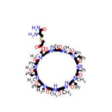 CC[C@@H]1NC(=O)[C@H](COC(=O)CSC[C@H](N)C(N)=O)N(C)C(=O)[C@H](C(C)C)N(C)C(=O)[C@H](CC(C)C)N(C)C(=O)[C@H](CC(C)C)N(C)C(=O)[C@@H](C)NC(=O)[C@H](C)NC(=O)[C@H](CC(C)C)N(C)C(=O)[C@H](C(C)C)NC(=O)[C@H](CC(C)C)N(C)C(=O)CN(C)C1=O